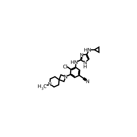 CN1CCC2(CC1)CN(c1cc(C#N)cc(Nc3nc(NC4CC4)c[nH]3)c1Cl)C2